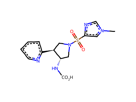 Cn1cnc(S(=O)(=O)N2C[C@H](NC(=O)O)[C@@H](c3ccccn3)C2)c1